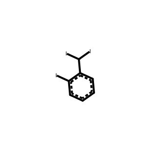 I[C](I)c1ccccc1I